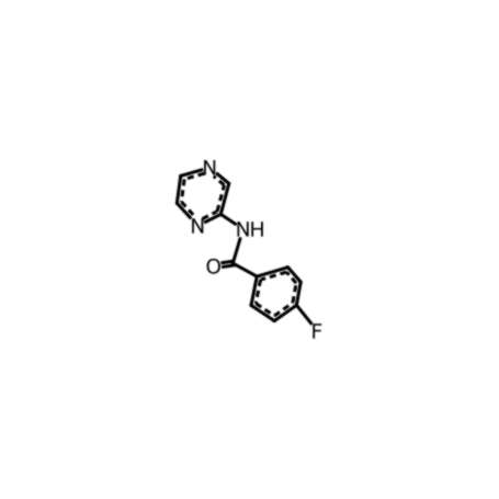 O=C(Nc1cnccn1)c1ccc(F)cc1